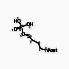 CCCCCCCCSOP(=O)(O)O